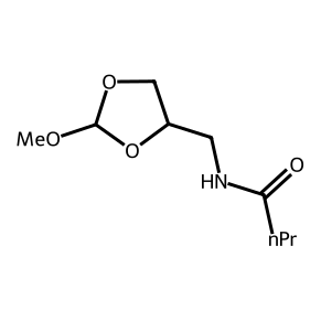 CCCC(=O)NCC1COC(OC)O1